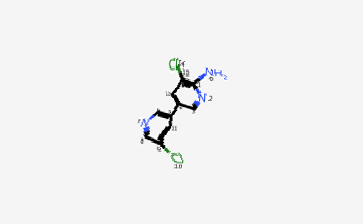 Nc1ncc(-c2cncc(Cl)c2)cc1Cl